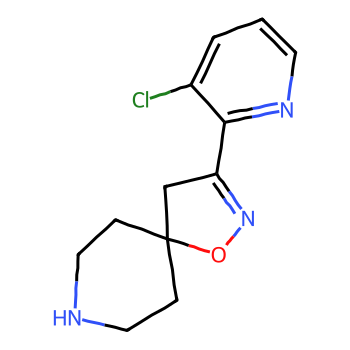 Clc1cccnc1C1=NOC2(CCNCC2)C1